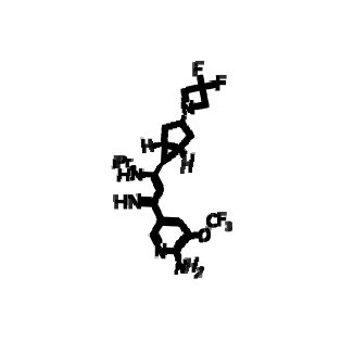 CC(C)N/C(=C\C(=N)c1cnc(N)c(OC(F)(F)F)c1)[C@H]1[C@@H]2C[C@H](N3CC(F)(F)C3)C[C@@H]21